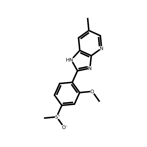 COc1cc([S+](C)[O-])ccc1-c1nc2ncc(C)cc2[nH]1